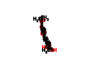 C=C(C)C(=O)OCCCOc1ccc(OC(=O)/C=C/c2ccc(-c3ccc(OC(O)C(=C)CO)cc3)cc2)cc1